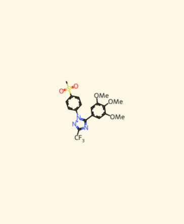 COc1cc(-c2nc(C(F)(F)F)nn2-c2ccc(S(C)(=O)=O)cc2)cc(OC)c1OC